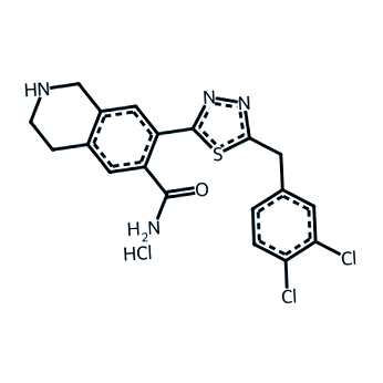 Cl.NC(=O)c1cc2c(cc1-c1nnc(Cc3ccc(Cl)c(Cl)c3)s1)CNCC2